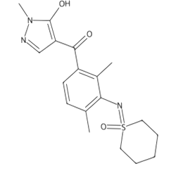 Cc1ccc(C(=O)c2cnn(C)c2O)c(C)c1N=S1(=O)CCCCC1